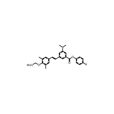 COCOc1c(C)cc(C=Cc2cc(C(=O)Oc3ccc(F)cc3)cc(N(C)C)c2)cc1C